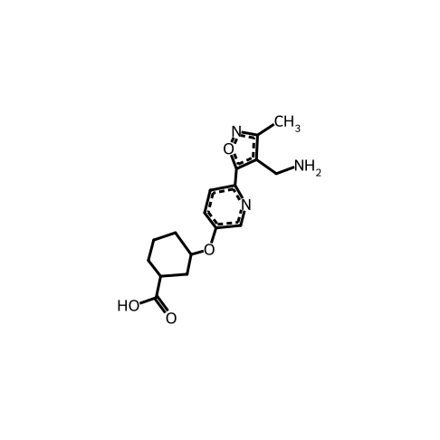 Cc1noc(-c2ccc(OC3CCCC(C(=O)O)C3)cn2)c1CN